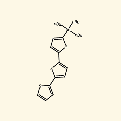 CCC[CH2][Sn]([CH2]CCC)([CH2]CCC)[c]1ccc(-c2ccc(-c3cccs3)s2)s1